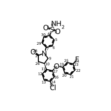 NS(=O)(=O)c1ccc(N2C[C@@H](c3ccc(Cl)cc3Oc3cccc(F)c3)CC2=O)cc1